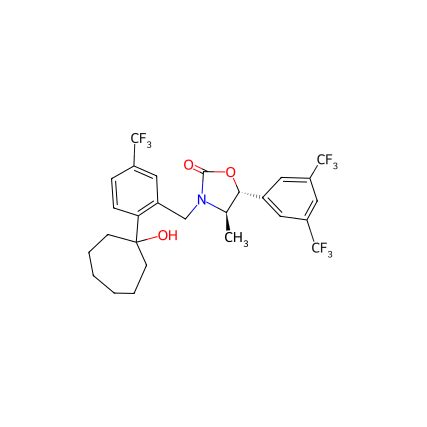 C[C@@H]1[C@@H](c2cc(C(F)(F)F)cc(C(F)(F)F)c2)OC(=O)N1Cc1cc(C(F)(F)F)ccc1C1(O)CCCCCC1